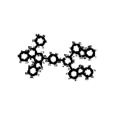 c1ccc(-c2nc3ccccc3c3c2cc(-c2ccc(-c4cc(-c5cccc6c5sc5ccccc56)nc(-c5cccc6c5sc5ccccc56)n4)cc2)c2sc4ccccc4c23)cc1